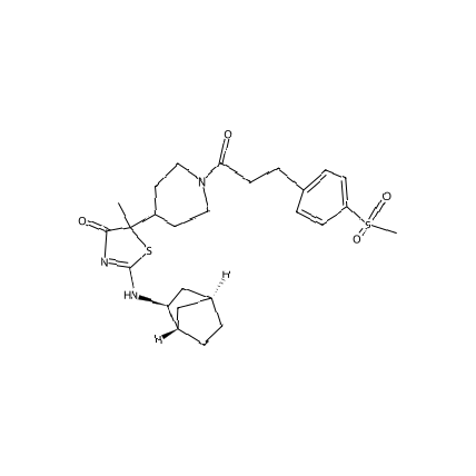 CC1(C2CCN(C(=O)CCc3ccc(S(C)(=O)=O)cc3)CC2)SC(N[C@H]2C[C@H]3CC[C@H]2C3)=NC1=O